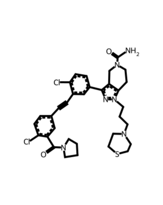 NC(=O)N1CCc2c(c(-c3ccc(Cl)c(C#Cc4ccc(Cl)c(C(=O)N5CCCC5)c4)c3)nn2CCCN2CCSCC2)C1